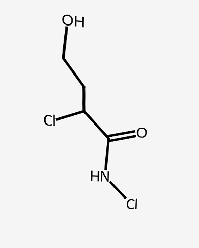 O=C(NCl)C(Cl)CCO